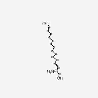 CCCC=CCCCCCCCCCC=CC(N)CO